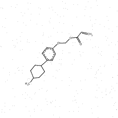 C=CC(=O)OCOc1ccc(C2CCC(C)CC2)cc1